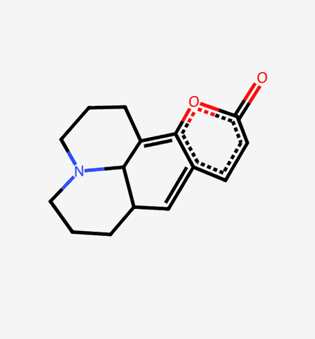 O=c1ccc2c(o1)=C1CCCN3CCCC(C=2)C13